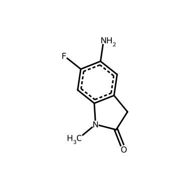 CN1C(=O)Cc2cc(N)c(F)cc21